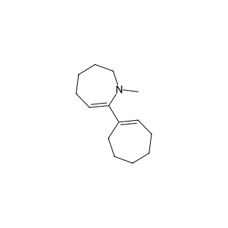 CN1CCCCC=C1C1=CCCCCC1